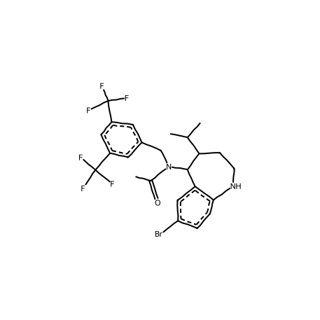 CC(=O)N(Cc1cc(C(F)(F)F)cc(C(F)(F)F)c1)C1c2cc(Br)ccc2NCCC1C(C)C